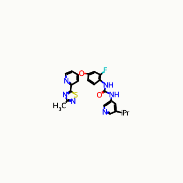 Cc1nsc(-c2cc(Oc3ccc(NC(=O)Nc4cncc(C(C)C)c4)c(F)c3)ccn2)n1